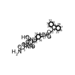 NC(=O)CC(=O)NNC(=O)[C@H](Cc1cccc(CNC(=O)OCC2c3ccccc3-c3ccccc32)c1)NC(=O)O